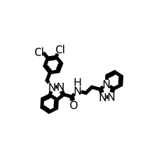 O=C(NCCc1nnc2ccccn12)c1nn(Cc2ccc(Cl)c(Cl)c2)c2ccccc12